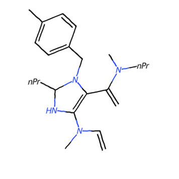 C=CN(C)C1=C(C(=C)N(C)CCC)N(Cc2ccc(C)cc2)C(CCC)N1